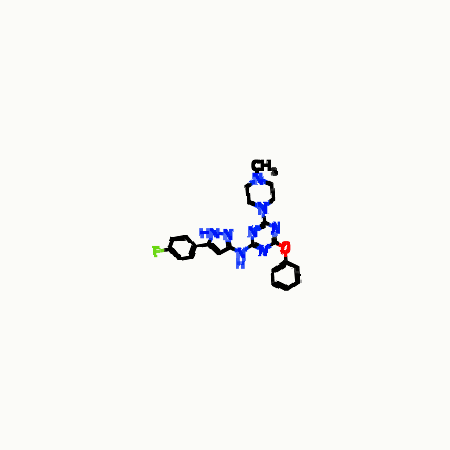 CN1CCN(c2nc(Nc3cc(-c4ccc(F)cc4)[nH]n3)nc(Oc3ccccc3)n2)CC1